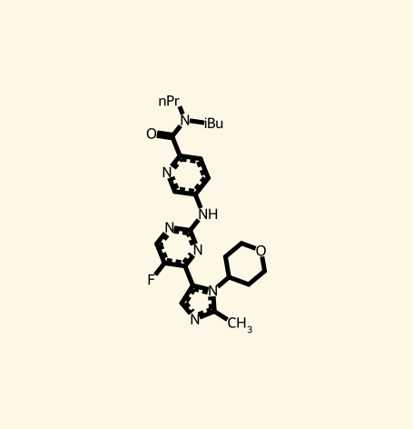 CCCN(C(=O)c1ccc(Nc2ncc(F)c(-c3cnc(C)n3C3CCOCC3)n2)cn1)C(C)CC